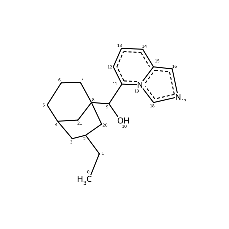 CCC1CC2CCCC(C(O)c3cccc4cncn34)(C1)C2